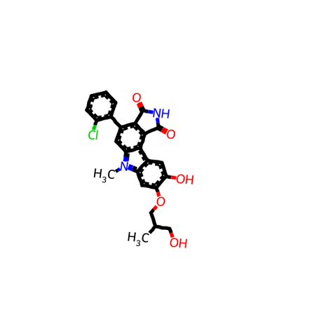 CC(CO)COc1cc2c(cc1O)c1c3c(c(-c4ccccc4Cl)cc1n2C)C(=O)NC3=O